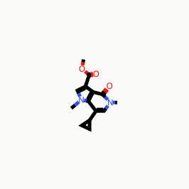 COC(=O)c1cn(C)c2c(C3CC3)cn(C)c(=O)c12